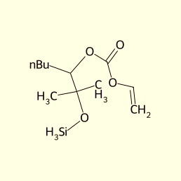 C=COC(=O)OC(CCCC)C(C)(C)O[SiH3]